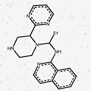 CCC(Nc1nccc2ccccc12)N1CCNCC1c1ncccn1